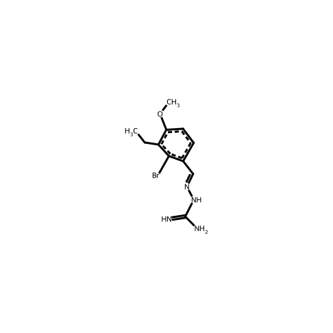 CCc1c(OC)ccc(/C=N/NC(=N)N)c1Br